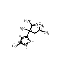 CC(C)CC(C)(C(N)=O)c1cc(O)no1